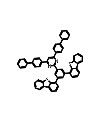 c1ccc(-c2ccc(-c3cc(-c4ccc(-c5ccccc5)cc4)nc(-c4cc(-c5cccc6c5sc5ccccc56)cc(-c5cccc6c5sc5ccccc56)c4)n3)cc2)cc1